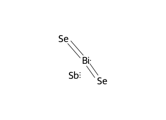 [Sb].[Se]=[Bi]=[Se]